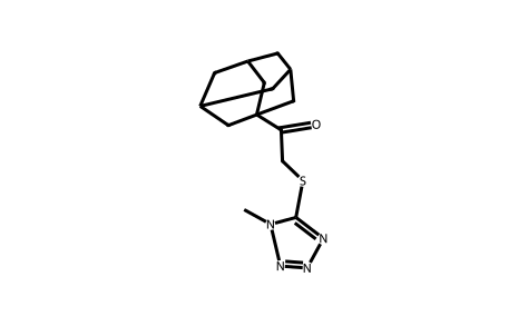 Cn1nnnc1SCC(=O)C12CC3CC(CC(C3)C1)C2